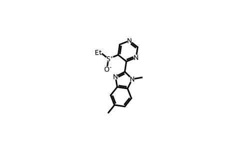 CC[S+]([O-])c1cncnc1-c1nc2cc(C)ccc2n1C